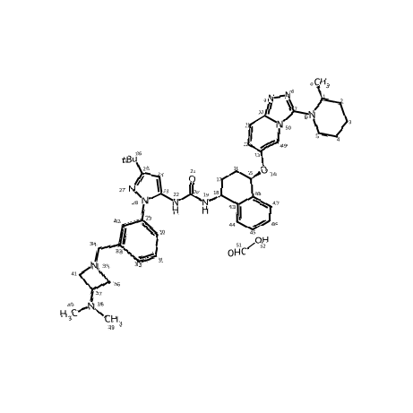 C[C@H]1CCCCN1c1nnc2ccc(O[C@@H]3CC[C@H](NC(=O)Nc4cc(C(C)(C)C)nn4-c4cccc(CN5CC(N(C)C)C5)c4)c4ccccc43)cn12.O=CO